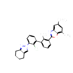 Cc1c(-c2nc3cc(C=O)cc(C#N)c3o2)cccc1-c1cccc(-n2cc3c(n2)CCCC3)c1Cl